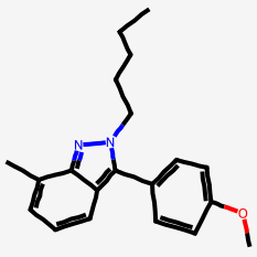 CCCCCn1nc2c(C)cccc2c1-c1ccc(OC)cc1